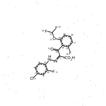 O=C(O)C(=NNc1ccc(Cl)cc1F)C(=O)c1c(F)cccc1OC(F)F